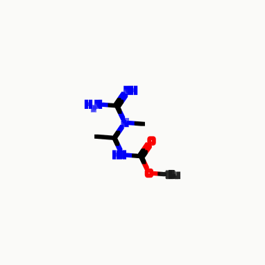 CC(NC(=O)OC(C)(C)C)N(C)C(=N)N